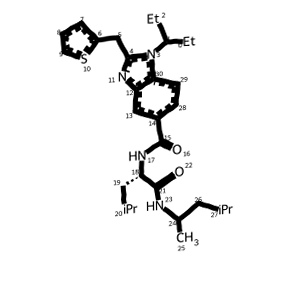 CCC(CC)n1c(Cc2cccs2)nc2cc(C(=O)N[C@@H](CC(C)C)C(=O)NC(C)CC(C)C)ccc21